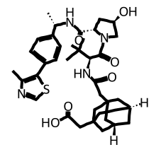 Cc1ncsc1-c1ccc([C@H](C)NC(=O)[C@@H]2C[C@@H](O)CN2C(=O)[C@@H](NC(=O)CC23C[C@@H]4C[C@@H](CC(CC(=O)O)(C4)C2)C3)C(C)(C)C)cc1